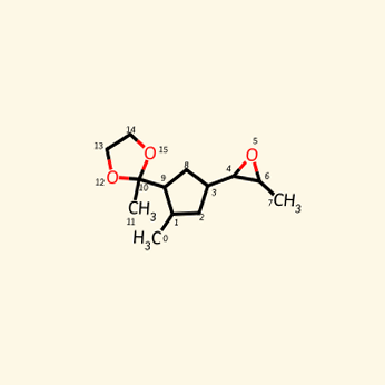 CC1CC(C2OC2C)CC1C1(C)OCCO1